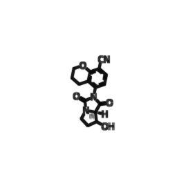 N#Cc1ccc(N2C(=O)[C@@H]3C(O)CCN3C2=O)c2c1OCCC2